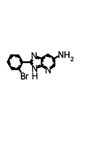 Nc1cnc2[nH]c(-c3ccccc3Br)nc2c1